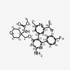 COC(=O)NC1(COc2nc(N)nc(-c3ccc(F)cc3)c2-c2cc(C)nc(C(F)F)c2)CCOCC1